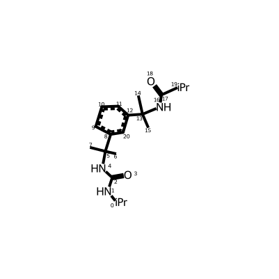 CC(C)NC(=O)NC(C)(C)c1cccc(C(C)(C)NC(=O)C(C)C)c1